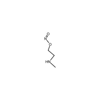 CNCCON=O